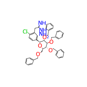 N=C(Cc1cc([C@@H]2O[C@H](COCc3ccccc3)[C@@H](OCc3ccccc3)[C@H](OCc3ccccc3)[C@H]2OCc2ccccc2)ccc1Cl)NN